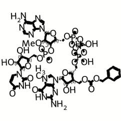 CO[C@@H]1[C@H](OP(=O)([O-])OC[C@H]2O[C@@H](n3ccc(=O)[nH]c3=O)[C@H](O)[C@@H]2O)[C@@H](COP(=O)(O)OP(=O)(O)OP(=O)(O)OC[C@H]2O[C@@H](n3c[n+](C)c4c(=O)[nH]c(N)nc43)[C@H](O)[C@@H]2COC(=O)OCc2ccccc2)O[C@H]1n1cnc2c(N)ncnc21